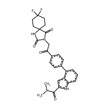 CN(C)C(=O)c1cc2c(-c3ccc(C(=O)CN4C(=O)NC5(CCC(F)(F)CC5)C4=O)cc3)cccc2[nH]1